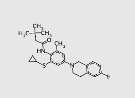 Cc1cc(N2CCc3cc(F)ccc3C2)cc(SC2CC2)c1NC(=O)CC(C)(C)C